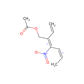 C=C/C(COC(C)=O)=C(\C=C/C)[N+](=O)[O-]